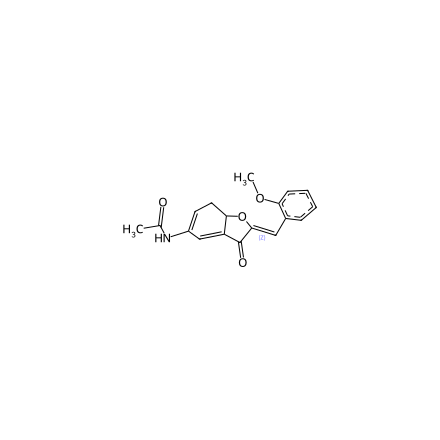 COc1ccccc1/C=C1\OC2CC=C(NC(C)=O)C=C2C1=O